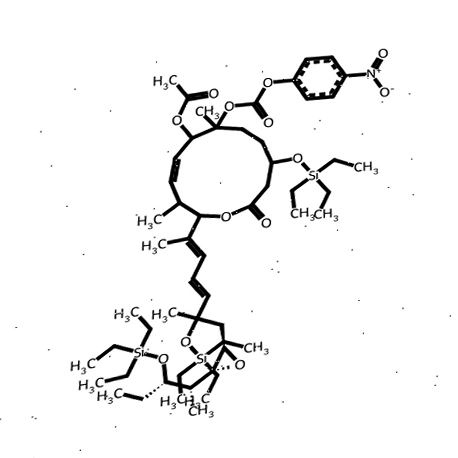 CC[C@H](O[Si](CC)(CC)CC)[C@@H](C)[C@H]1O[C@@H]1CC(C)(/C=C/C=C(\C)C1OC(=O)CC(O[Si](CC)(CC)CC)CCC(C)(OC(=O)Oc2ccc([N+](=O)[O-])cc2)C(OC(C)=O)C=CC1C)O[Si](CC)(CC)CC